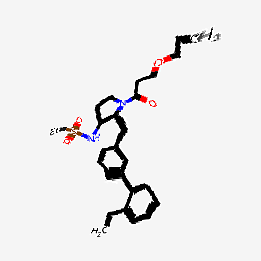 C=CCOCCC(=O)N1CCC(NS(=O)(=O)CC)C1Cc1cccc(-c2ccccc2C=C)c1